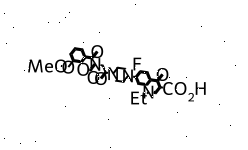 CCn1cc(C(=O)O)c(=O)c2cc(F)c(N3CCN(C(=O)Cn4c(=O)oc5c(OOC)cccc5c4=O)CC3)cc21